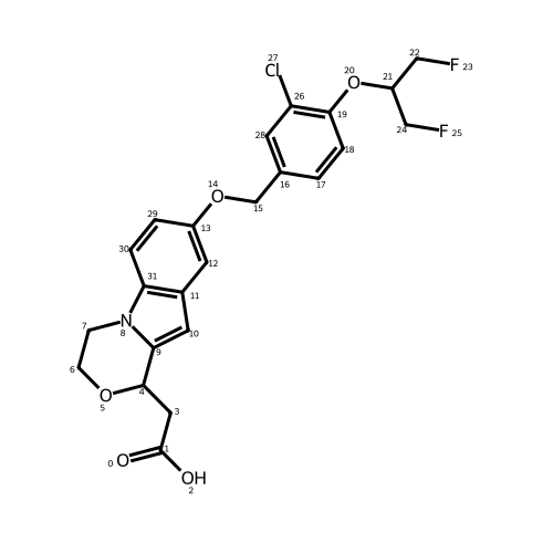 O=C(O)CC1OCCn2c1cc1cc(OCc3ccc(OC(CF)CF)c(Cl)c3)ccc12